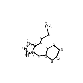 OCCCc1nnnn1CC1CCCCC1